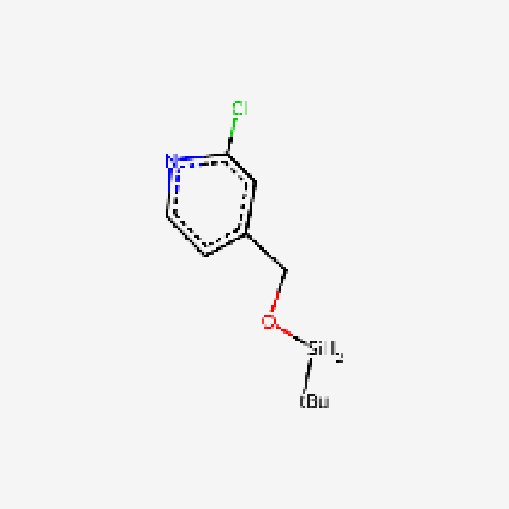 CC(C)(C)[SiH2]OCc1ccnc(Cl)c1